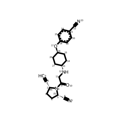 C#C[C@H]1CC[C@@H](C#N)N1C(=O)CN[C@H]1CC[C@H](Oc2ccc(C#N)cc2)CC1